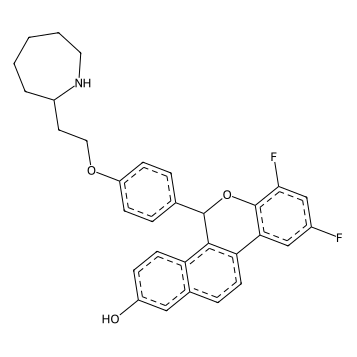 Oc1ccc2c3c(ccc2c1)-c1cc(F)cc(F)c1OC3c1ccc(OCCC2CCCCCN2)cc1